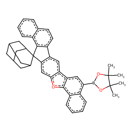 CC1(C)OB(c2cc3c4cc5c(cc4oc3c3ccccc23)C2(c3c-5ccc4ccccc34)C3CC4CC(C3)CC2C4)OC1(C)C